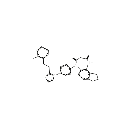 O=C1CC(=O)N(c2ccc(-n3ccnc3CCc3ccccc3F)cc2)c2ccc3c(c2N1)CCC3